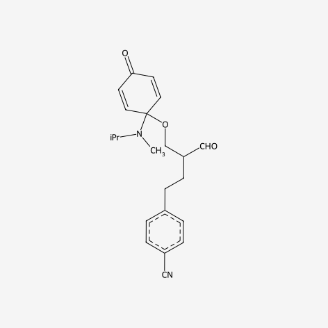 CC(C)N(C)C1(OCC(C=O)CCc2ccc(C#N)cc2)C=CC(=O)C=C1